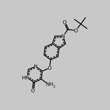 CC(C)(C)OC(=O)n1cc2ccc(Oc3nc[nH]c(=O)c3N)cc2c1